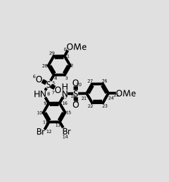 COc1ccc(S(=O)(=O)Nc2cc(Br)c(Br)cc2NS(=O)(=O)c2ccc(OC)cc2)cc1